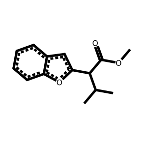 COC(=O)C(c1cc2ccccc2o1)C(C)C